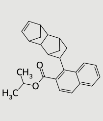 CC(C)OC(=O)c1ccc2ccccc2c1C1CC2CC1C1C3C=CC(C3)C21